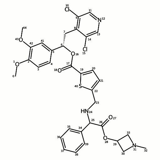 COc1ccc([C@H](Cc2c(Cl)cncc2Cl)OC(=O)c2ccc(CNC(C(=O)OC3CN(C)C3)c3ccccc3)s2)cc1OC